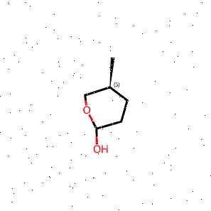 C[C@H]1CCC(O)OC1